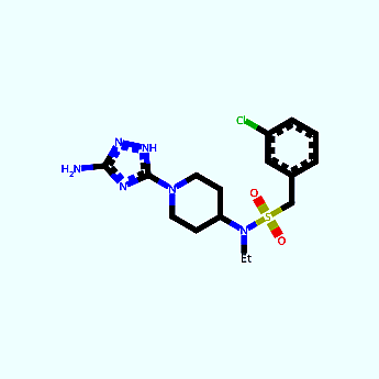 CCN(C1CCN(c2nc(N)n[nH]2)CC1)S(=O)(=O)Cc1cccc(Cl)c1